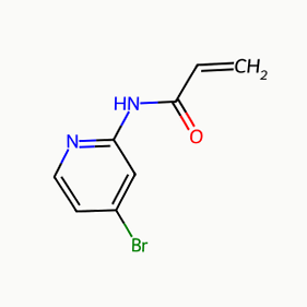 C=CC(=O)Nc1cc(Br)ccn1